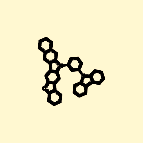 c1cc(-n2c3ccccc3c3ccccc32)cc(-n2c3cc4ccccc4cc3c3cc4oc5ccccc5c4cc32)c1